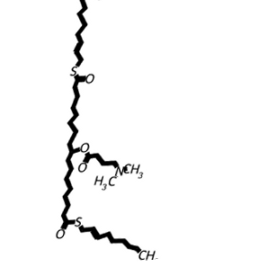 CCCCCC/C=C/CSC(=O)CCCCCCCC(CCCCCCCC(=O)SC/C=C/CCCCCC)OC(=O)CCCN(C)C